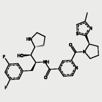 Cc1csc([C@H]2CCCN2C(=O)c2cc(C(=O)N[C@@H](Cc3cc(F)cc(F)c3)[C@@H](O)[C@H]3CCCN3)ccn2)n1